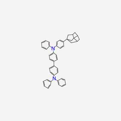 c1ccc(N(c2ccccc2)c2ccc(-c3ccc(N(c4ccccc4)c4ccc(C56CC7CC8CC(C5)C87C6)cc4)cc3)cc2)cc1